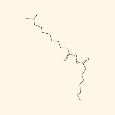 CCCCCCCC(=O)OOC(=O)CCCCCCCCC(C)C